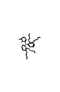 CCCCc1cccc(P(c2cccc(C)c2C)c2cccc(CCCC)c2CCCC)c1CCCC